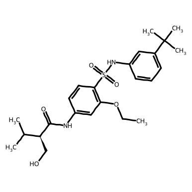 CCOc1cc(NC(=O)[C@@H](CO)C(C)C)ccc1S(=O)(=O)Nc1cccc(C(C)(C)C)c1